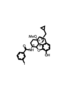 CO[C@@]12CC[C@@H](NC(=O)c3cccc(I)c3)C3Oc4c(O)ccc5c4[C@@]31CCN(CC1CC1)C2C5